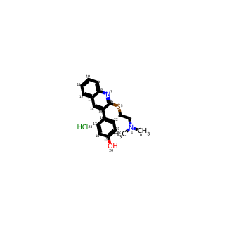 CN(C)CCSc1nc2ccccc2cc1-c1ccc(O)cc1.Cl